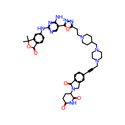 CC1(C)OC(=O)c2ccc(Nc3ncc(-c4nnc(CCN5CCC(CN6CCN(CC#Cc7ccc8c(c7)CN(C7CCC(=O)NC7=O)C8=O)CC6)CC5)o4)c(N)n3)cc21